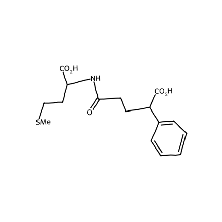 CSCCC(NC(=O)CCC(C(=O)O)c1ccccc1)C(=O)O